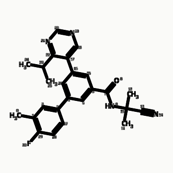 Cc1cc(-c2cc(C(=O)NC(C)(C)C#N)cc(-c3cncnc3C(C)C)c2)ccc1F